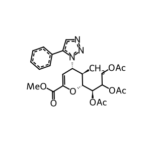 COC(=O)C1=C[C@H](n2nncc2-c2ccccc2)[C@@H](C)[C@H]([C@H](OC(C)=O)C(COC(C)=O)OC(C)=O)O1